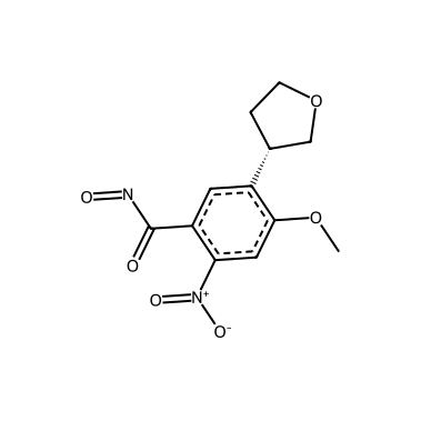 COc1cc([N+](=O)[O-])c(C(=O)N=O)cc1[C@@H]1CCOC1